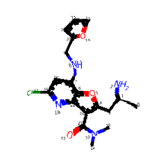 C[C@H](N)Cc1oc2c(NCc3ccco3)cc(Cl)nc2c1C(=O)N(C)C